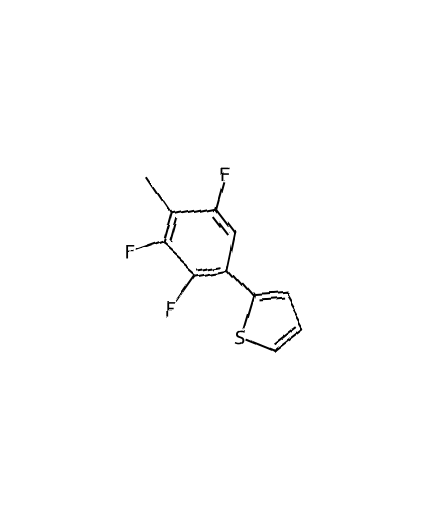 Cc1c(F)cc(-c2cccs2)c(F)c1F